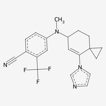 CN(c1ccc(C#N)c(C(F)(F)F)c1)C1C=C(n2ccnc2)C2(CC1)CC2